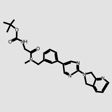 CN(Cc1cccc(-c2cnc(N3Cc4cccnc4C3)nc2)c1)C(=O)CNC(=O)OC(C)(C)C